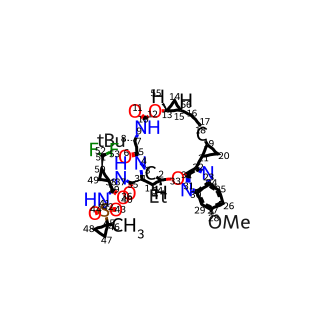 CC[C@@H]1[C@@H]2CN(C(=O)[C@H](C(C)(C)C)NC(=O)O[C@@H]3C[C@H]3CCCC3CC3c3nc4ccc(OC)cc4nc3O2)[C@@H]1C(=O)N[C@]1(C(=O)NS(=O)(=O)C2(C)CC2)C[C@H]1C(F)F